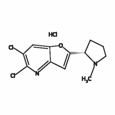 CN1CCC[C@H]1c1cc2nc(Cl)c(Cl)cc2o1.Cl